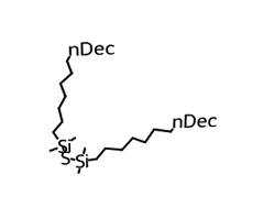 CCCCCCCCCCCCCCCCC[Si](C)(C)S[Si](C)(C)CCCCCCCCCCCCCCCCC